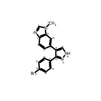 Cn1cnc2ccc(-c3c[nH]nc3-c3ccc(Br)cc3)cc21